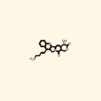 NCC/C=C/c1c2c(nc3ccccc13)-c1cc3c(c(=O)n1C2)COC(=O)[C@H]3O